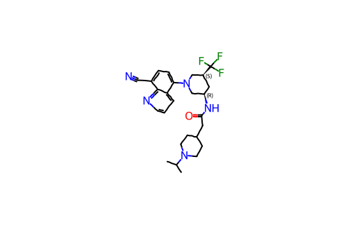 CC(C)N1CCC(CC(=O)N[C@@H]2C[C@H](C(F)(F)F)CN(c3ccc(C#N)c4ncccc34)C2)CC1